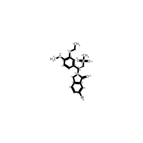 CCOc1cc([C@@H](CS(C)(=O)=O)N2Cc3ccc(Br)cc3C2=O)ccc1OC